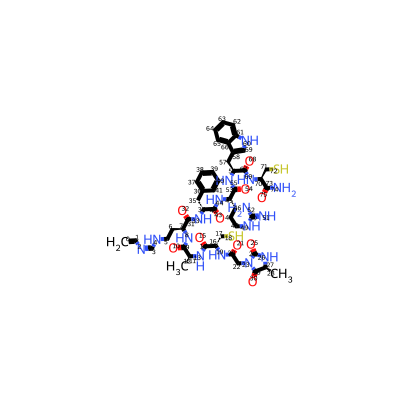 C=C/N=C\NCC[C@H](NC(=O)[C@@H](C)NC(=O)[C@H](CS)NC(=O)CN1C(=O)N[C@@H](C)C1=O)C(=O)N[C@H](Cc1ccccc1)C(=O)N[C@@H](CCCNC(=N)N)C(=O)N[C@@H](Cc1c[nH]c2ccccc12)C(=O)N[C@@H](CS)C(N)=O